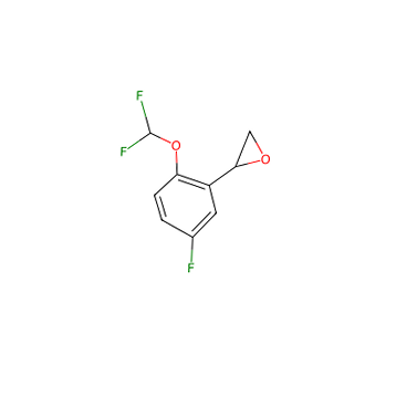 Fc1ccc(OC(F)F)c(C2CO2)c1